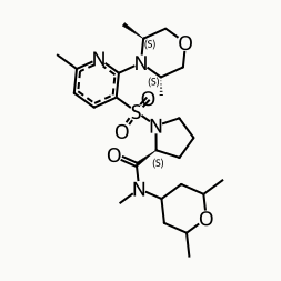 Cc1ccc(S(=O)(=O)N2CCC[C@H]2C(=O)N(C)C2CC(C)OC(C)C2)c(N2[C@@H](C)COC[C@@H]2C)n1